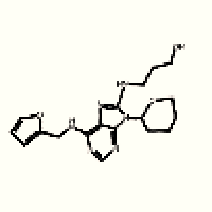 OCCCNc1nc2c(NCc3ccco3)ncnc2n1C1CCCCO1